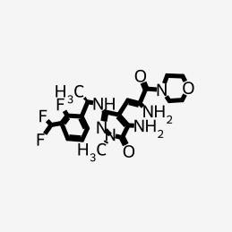 C[C@@H](Nc1nn(C)c(=O)c(N)c1/C=C(\N)C(=O)N1CCOCC1)c1cccc(C(F)F)c1F